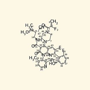 C=C(F)C(=O)N1CCN(c2c(C(=O)NCCN(C)C)c(=O)n(-c3c(C)ccnc3C(C)C)c3nc(-c4c(O)cccc4F)c(F)cc23)C[C@@H]1CC#N